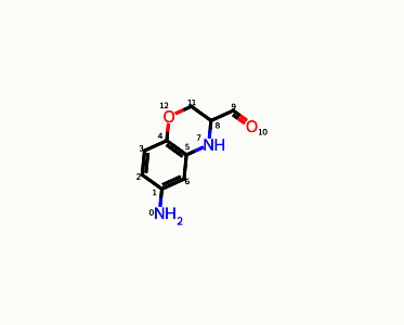 Nc1ccc2c(c1)NC(C=O)CO2